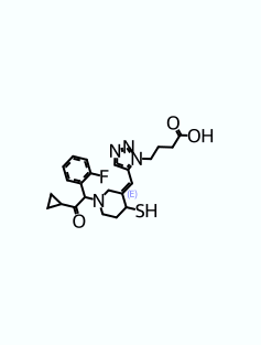 O=C(O)CCCn1nncc1/C=C1\CN(C(C(=O)C2CC2)c2ccccc2F)CCC1S